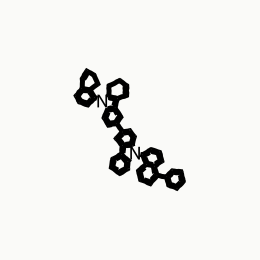 C1=Cc2cccc(-n3c4c(c5cc(-c6ccc7c(c6)c6ccccc6n7-c6cccc7c(-c8ccccc8)cccc67)ccc53)C=CCC4)c2CC1